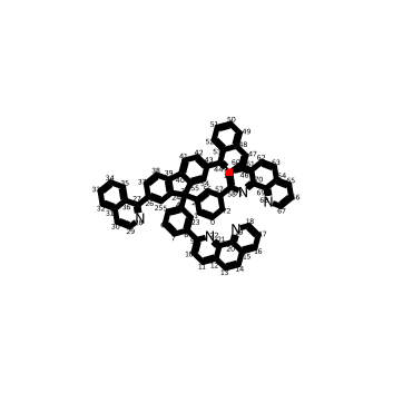 C1=CC(C2(c3cccc(-c4ccc5ccc6cccnc6c5n4)c3)c3cc(-c4nccc5ccccc45)ccc3-c3ccc(-c4nccc5ccccc45)cc32)=CC(c2ccc3ccc4cccnc4c3n2)C1